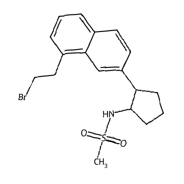 CS(=O)(=O)NC1CCCC1c1ccc2cccc(CCBr)c2c1